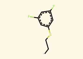 [CH2]CCSc1cc(F)cc(F)c1